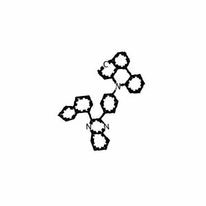 c1ccc2c(c1)-c1cccc3cccc(c13)N2c1ccc(-c2nc3ccccc3nc2-c2cccc3ccccc23)cc1